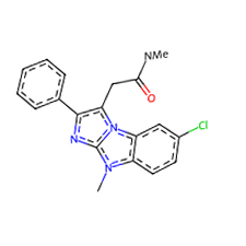 CNC(=O)Cc1c(-c2ccccc2)nc2n(C)c3ccc(Cl)cc3n12